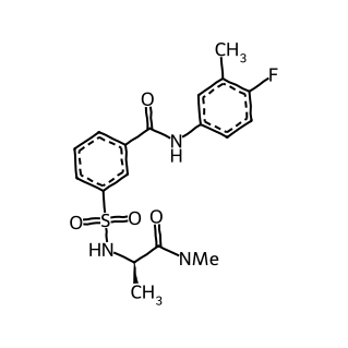 CNC(=O)[C@@H](C)NS(=O)(=O)c1cccc(C(=O)Nc2ccc(F)c(C)c2)c1